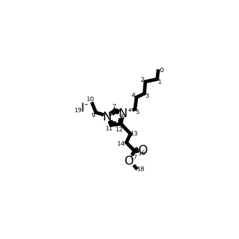 CCCCCC[n+]1cn(CC)cc1CCC(=O)OC.[I-]